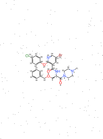 CN1CCN(C(=O)[C@@H](COCc2ccccc2)NC(=O)c2cc(Br)cnc2Oc2ccc(Cl)cc2)CC1